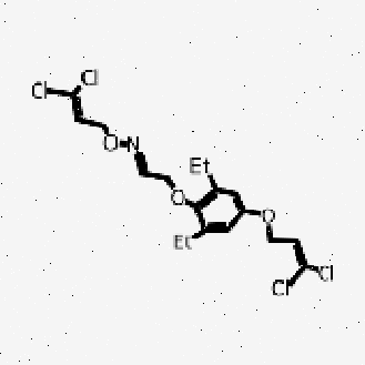 CCc1cc(OCC=C(Cl)Cl)cc(CC)c1OC/C=N/OCC=C(Cl)Cl